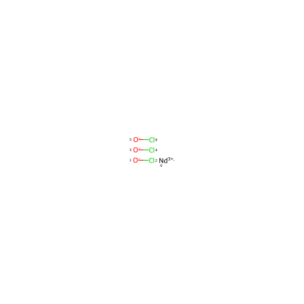 [Nd+3].[O-]Cl.[O-]Cl.[O-]Cl